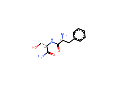 NC(=O)[C@H](CO)NC(=O)[C@@H](N)Cc1ccccc1